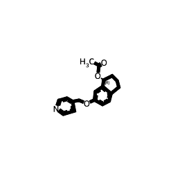 CC(=O)O[C@@H]1CCCc2ccc(OCc3ccncc3)cc21